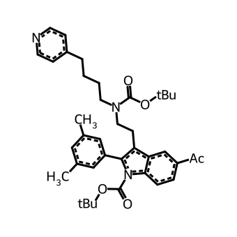 CC(=O)c1ccc2c(c1)c(CCN(CCCCc1ccncc1)C(=O)OC(C)(C)C)c(-c1cc(C)cc(C)c1)n2C(=O)OC(C)(C)C